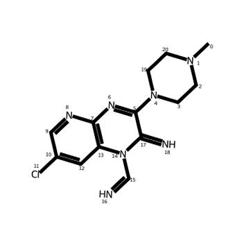 CN1CCN(c2nc3ncc(Cl)cc3n(C=N)c2=N)CC1